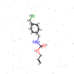 C=CCOC(=O)NCc1ccc(CBr)cc1